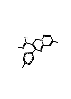 C/N=C(\N)C1=C(c2ccc(C)cc2)N=C2C=C(C)C=CN2C1